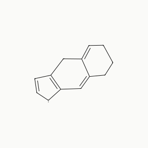 [CH]1C=CC2=C1C=C1CCCC=C1C2